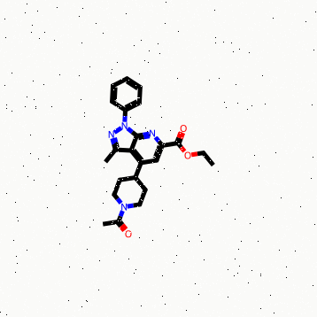 CCOC(=O)c1cc(C2CCN(C(C)=O)CC2)c2c(C)nn(-c3ccccc3)c2n1